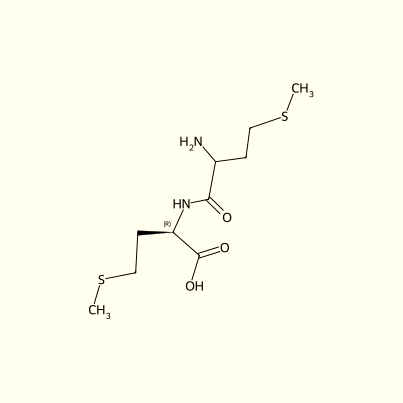 CSCCC(N)C(=O)N[C@H](CCSC)C(=O)O